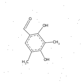 Cc1cc(C=O)c(O)c(C)c1O